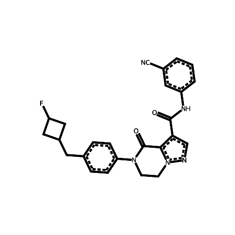 N#Cc1cccc(NC(=O)c2cnn3c2C(=O)N(c2ccc(CC4CC(F)C4)cc2)CC3)c1